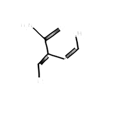 C/C=I\C(=C/CC)C(N)=O